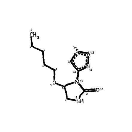 CCCCCOC1CNC(=O)N1c1csnn1